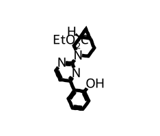 CCOC(=O)[C@@]12CCN(c3nccc(-c4ccccc4O)n3)C[C@@H]1C2